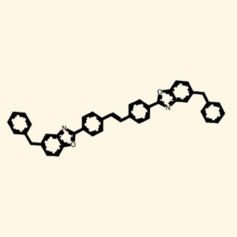 C(=Cc1ccc(-c2nc3cc(Cc4ccccc4)ccc3o2)cc1)c1ccc(-c2nc3cc(Cc4ccccc4)ccc3o2)cc1